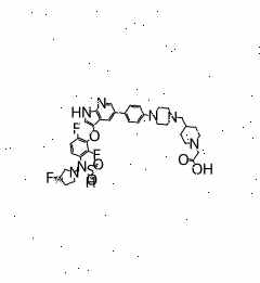 O=C(O)CN1CCC(CN2CCN(c3ccc(-c4cnc5[nH]cc(Oc6c(F)ccc(N(N7CC[C@@H](F)C7)[SH](=O)=O)c6F)c5c4)cc3)CC2)CC1